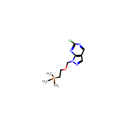 CS(C)(C)CCOCn1ncc2cnc(Cl)nc21